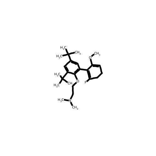 COC1=CC[CH]C(F)=C1c1cc(C(C)(C)C)cc(C(C)(C)C)c1OCCN(C)C